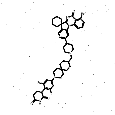 O=C1CCC(c2c(F)cc(N3CCC4(CCC(CN5CCC(c6ccc7c(c6)-n6c(nc(=O)c8c(Br)cccc86)C76CCCCC6)CC5)CC4)CC3)cc2F)C(=O)N1